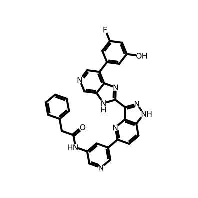 O=C(Cc1ccccc1)Nc1cncc(-c2ccc3[nH]nc(-c4nc5c(-c6cc(O)cc(F)c6)cncc5[nH]4)c3n2)c1